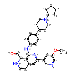 COc1cncc(-c2cc3c(c(Nc4ccc(C5CCN(C6CCCC6)CC5)cc4)n2)C(C=O)NC=C3)c1